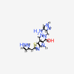 Cn1cc(N)c(CN2N=Cc3c(n(C)c4nc(Cc5cc[nH]n5)sc34)C2O)n1